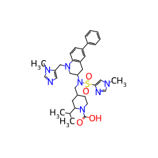 CC(C)C1CC(CN(C2Cc3cc(-c4ccccc4)ccc3N(Cc3cncn3C)C2)S(=O)(=O)c2cn(C)cn2)CCN1C(=O)O